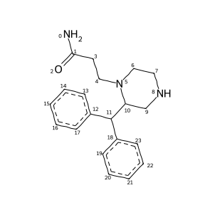 NC(=O)CCN1CCNCC1C(c1ccccc1)c1ccccc1